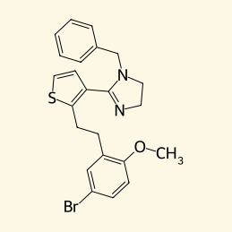 COc1ccc(Br)cc1CCc1sccc1C1=NCCN1Cc1ccccc1